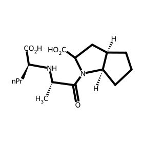 CCC[C@H](N[C@@H](C)C(=O)N1C(C(=O)O)C[C@H]2CCC[C@H]21)C(=O)O